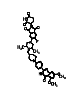 COc1cc(OC)c2c(=O)[nH]c(-c3ccc(N4CCC(CN5C(C)CN(c6cc7c(cc6F)C(=O)N(C6CCC(=O)NC6=O)C7=O)CC5C)CC4)cc3)nc2c1